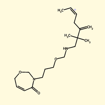 C=C(C/C=C\C)C(C)(C)CNCOCCCN1COCC=CC1=O